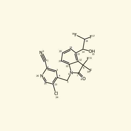 N#Cc1cc(CN2C(=O)C(F)(F)c3c(C(O)C(F)F)cccc32)c(Cl)cn1